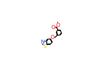 COC(=O)c1cccc(COc2ccc3scnc3c2)c1